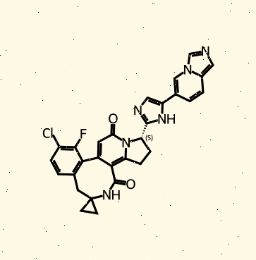 O=C1NC2(CC2)Cc2ccc(Cl)c(F)c2-c2cc(=O)n3c(c21)CC[C@H]3c1ncc(-c2ccc3cncn3c2)[nH]1